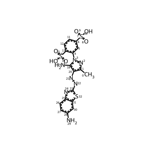 Cc1nn(-c2cc(S(=O)(=O)O)ccc2S(=O)(=O)O)c(N)c1/N=N/c1nc2ccc(N)cc2s1